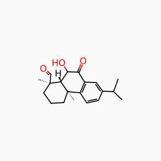 CC(C)c1ccc2c(c1)C(=O)C(O)[C@H]1[C@](C)(C=O)CCC[C@]21C